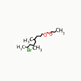 CCCOCOCCCC(C)CC(C)CC(C)Br